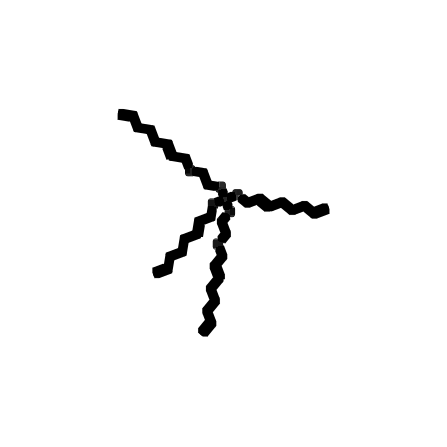 C=CCCCC=CCOCCO[Si](OCC=CCCCC=C)(OCC=CCCCC=C)OCCOCC=CCCCC=C